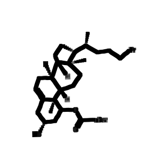 CCCCCCCCCCC(=O)OC1C[C@H](O)CC2=CC[C@H]3[C@@H]4CC[C@H]([C@H](C)CCCC(C)C)[C@@]4(C)CC[C@@H]3[C@]21C